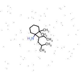 CC[C@@H](CC(C)C)C1(N)CCCCC1(C)C